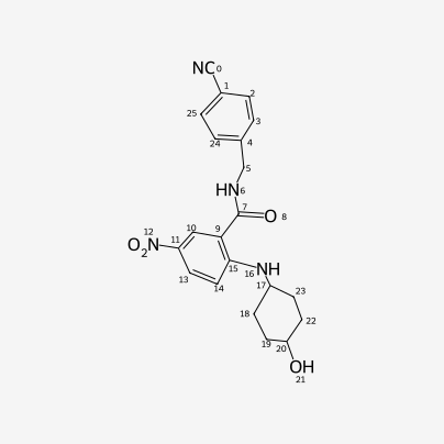 N#Cc1ccc(CNC(=O)c2cc([N+](=O)[O-])ccc2NC2CCC(O)CC2)cc1